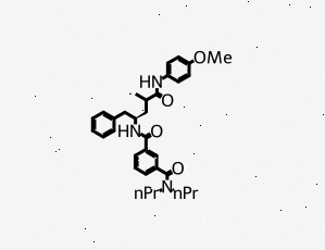 [CH2]C(C[C@H](Cc1ccccc1)NC(=O)c1cccc(C(=O)N(CCC)CCC)c1)C(=O)Nc1ccc(OC)cc1